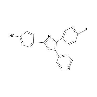 N#Cc1ccc(-c2nc(-c3ccc(F)cc3)c(-c3ccncc3)o2)cc1